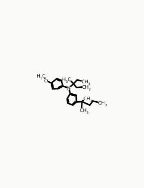 CCCC(C)(C)c1cccc(N(c2ccc(OC)cc2)C(C)(CC)CC)c1